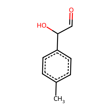 Cc1ccc(C(O)C=O)cc1